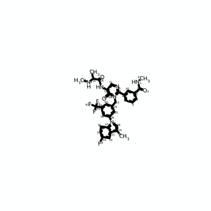 CNC(=O)c1cccc(-c2ncc(NC(=O)C(C)NC)c(=O)n2Cc2cc(-n3cc(C)c4cc(F)ccc43)cc(C(F)(F)F)c2)c1